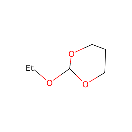 CCOC1OCCCO1